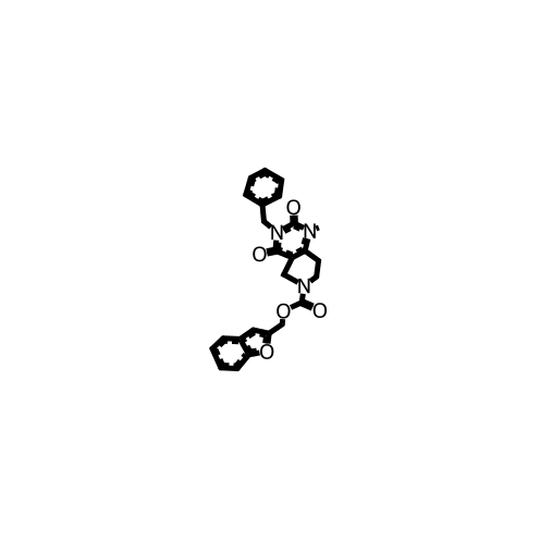 Cn1c2c(c(=O)n(Cc3ccccc3)c1=O)CN(C(=O)OCc1cc3ccccc3o1)CC2